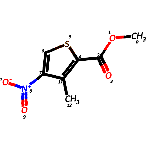 COC(=O)c1scc([N+](=O)[O-])c1C